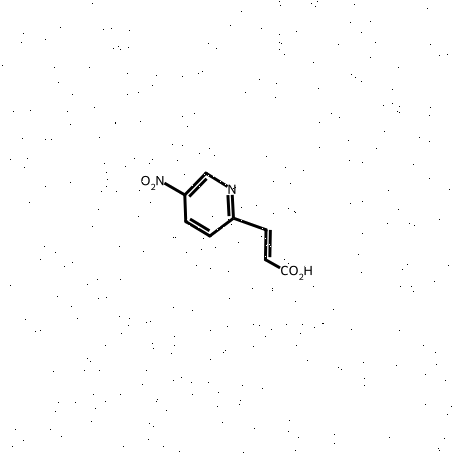 O=C(O)/C=C/c1ccc([N+](=O)[O-])cn1